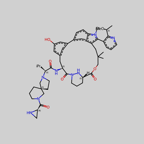 CCn1c(-c2cccnc2[C@H](C)OC)c2c3cc(ccc31)-c1cc(O)cc(c1)C[C@H](NC(=O)[C@H](C(C)C)N1CC[C@@]3(CCCN(C(=O)[C@H]4CN4)C3)C1)C(=O)N1CCC[C@H](N1)C(=O)OCC(C)(C)C2